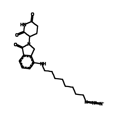 [N-]=[N+]=NCCCCCCCCNc1cccc2c1CN(C1CCC(=O)NC1=O)C2=O